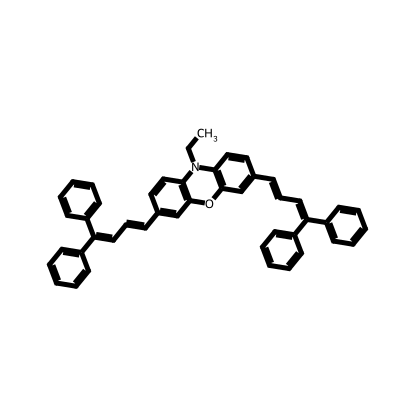 CCN1c2ccc(C=CC=C(c3ccccc3)c3ccccc3)cc2Oc2cc(C=CC=C(c3ccccc3)c3ccccc3)ccc21